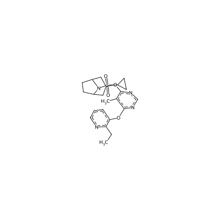 CCc1ncccc1Oc1ncnc(OC2CC3CCC(C2)N3S(=O)(=O)C2CC2)c1C